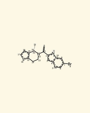 C=C(c1cc2ncc(Br)cn2n1)N1CCc2sccc2[C@@H]1C